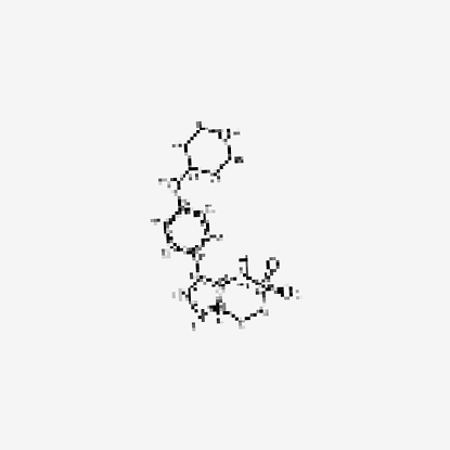 O=S1(=O)CCn2nnc(-c3ccc(OC4CCOCC4)cc3)c2N1